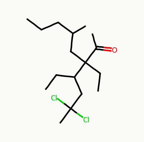 CCCC(C)CC(CC)(C(C)=O)C(CC)CC(C)(Cl)Cl